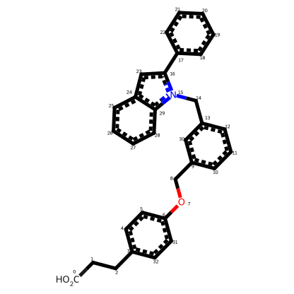 O=C(O)CCc1ccc(OCc2cccc(Cn3c(-c4ccccc4)cc4ccccc43)c2)cc1